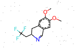 COc1cc2c(cc1OC)CC(CC(F)(F)F)N=C2